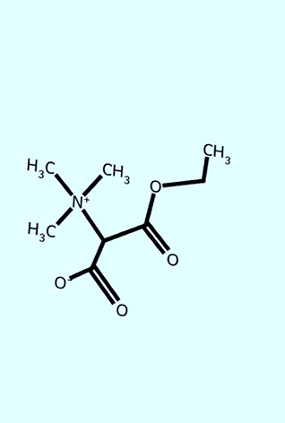 CCOC(=O)C(C(=O)[O-])[N+](C)(C)C